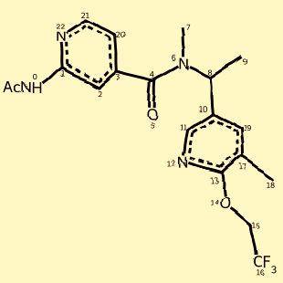 CC(=O)Nc1cc(C(=O)N(C)C(C)c2cnc(OCC(F)(F)F)c(C)c2)ccn1